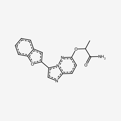 CC(Oc1ccc2ncc(-c3cc4ccccc4o3)n2n1)C(N)=O